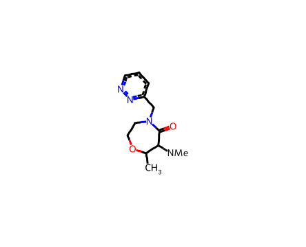 CNC1C(=O)N(Cc2cccnn2)CCOC1C